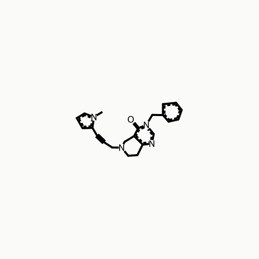 Cn1cccc1C#CCN1CCc2ncn(Cc3ccccc3)c(=O)c2C1